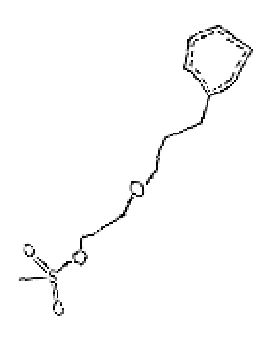 CS(=O)(=O)OCCOCCCc1ccccc1